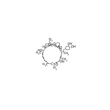 C/C1=C\CC([C@H](C)C[C@@H]2CC[C@@H](O)[C@H](O)C2)OC(=O)[C@@H]2CCCCN2C(=O)C[C@]2(O)O[C@@H](CC[C@H]2C)C[C@H](O)/C(C)=C/C=C/C=C/[C@@H](C)CC[C@@H](C)C(=O)C[C@@H]1O